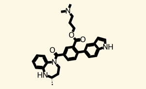 C[C@H]1CCN(C(=O)c2ccc(-c3ccc4[nH]ccc4c3)c(C(=O)OCCCN(C)C)c2)c2ccccc2N1